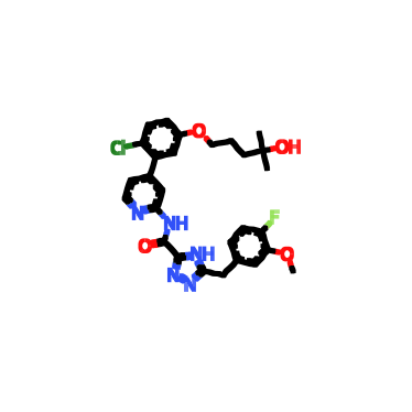 COc1cc(Cc2nnc(C(=O)Nc3cc(-c4cc(OCCCC(C)(C)O)ccc4Cl)ccn3)[nH]2)ccc1F